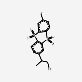 CC(CO)c1ccc2c(c1)S(=O)(=O)c1ccc(Br)cc1S2(=O)=O